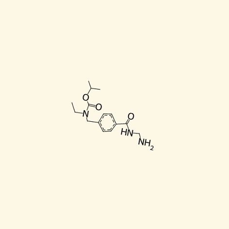 CCN(Cc1ccc(C(=O)NCN)cc1)C(=O)OC(C)C